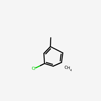 C.Cc1cccc(Cl)c1